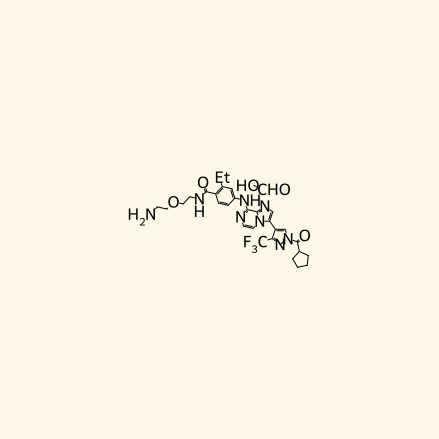 CCc1cc(Nc2nccn3c(-c4cn(C(=O)C5CCCC5)nc4C(F)(F)F)cnc23)ccc1C(=O)NCCOCCN.O=CO